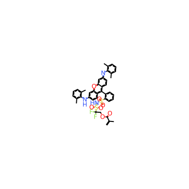 C=C(C)C(=O)OCC(F)(F)S(=O)(=O)NS(=O)(=O)c1ccccc1-c1c2cc/c(=N\c3c(C)cccc3C)cc-2oc2cc(Nc3c(C)cccc3C)ccc12